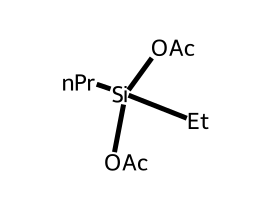 CCC[Si](CC)(OC(C)=O)OC(C)=O